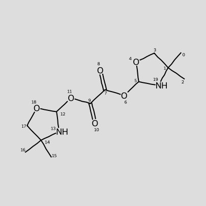 CC1(C)COC(OC(=O)C(=O)OC2NC(C)(C)CO2)N1